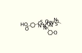 COc1cccc(C2=NN(c3nc(-c4ccc(C(=O)O)cc4)cs3)C(=O)/C2=N\Nc2ncc(C)s2)c1